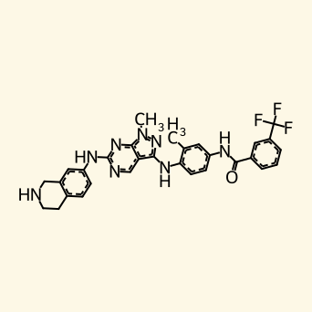 Cc1cc(NC(=O)c2cccc(C(F)(F)F)c2)ccc1Nc1nn(C)c2nc(Nc3ccc4c(c3)CNCC4)ncc12